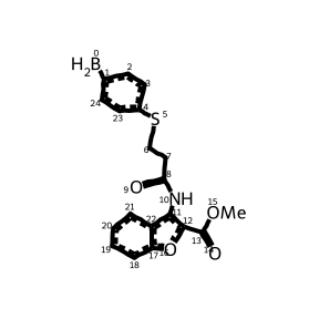 Bc1ccc(SCCC(=O)Nc2c(C(=O)OC)oc3ccccc23)cc1